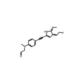 C/N=C1/NC(C#Cc2ccc(N(C)CC=O)cc2)=C/C1=C/CF